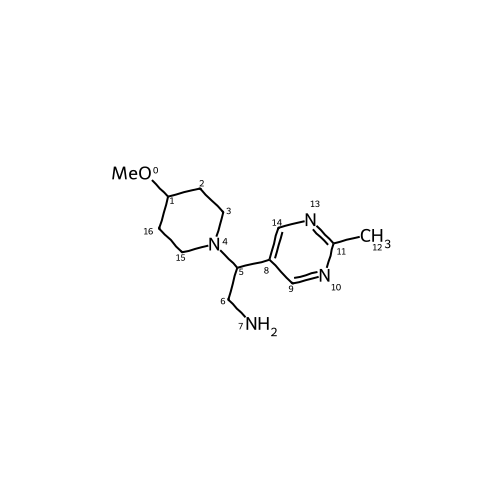 COC1CCN(C(CN)c2cnc(C)nc2)CC1